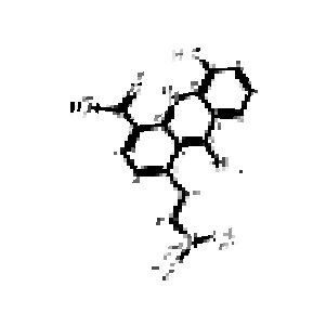 Cc1cccc2c(N)c3c(CCN(C)C)ccc(C(N)=O)c3nc12